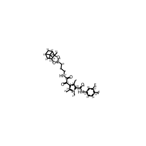 Cc1c(C(=O)C(=O)NCCCB2OC3CC4CC(C4(C)C)C3(C)O2)c(C)n(C)c1C(=O)Nc1ccc(F)c(F)c1